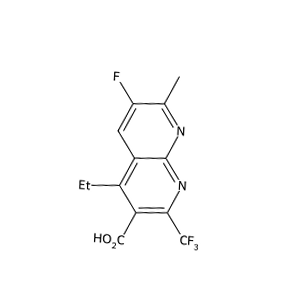 CCc1c(C(=O)O)c(C(F)(F)F)nc2nc(C)c(F)cc12